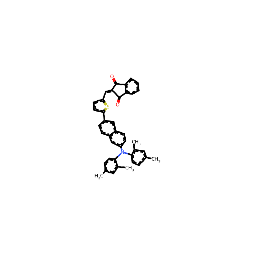 Cc1ccc(N(c2ccc3cc(-c4ccc(C=C5C(=O)c6ccccc6C5=O)s4)ccc3c2)c2ccc(C)cc2C)c(C)c1